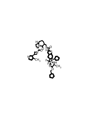 Cc1ccncc1C1CN(C(=O)[C@@H]2CC[C@@H]3CCCC(CNC(=O)c4cc5cc(C(F)(F)P(=O)(N[C@@H](C)C(=O)OCc6ccccc6)Oc6ccccc6)ccc5s4)C(=O)N32)C1